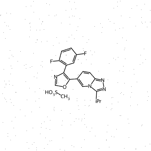 CC(C)c1nnc2ccc(-c3ocnc3-c3cc(F)ccc3F)cn12.CS(=O)(=O)O